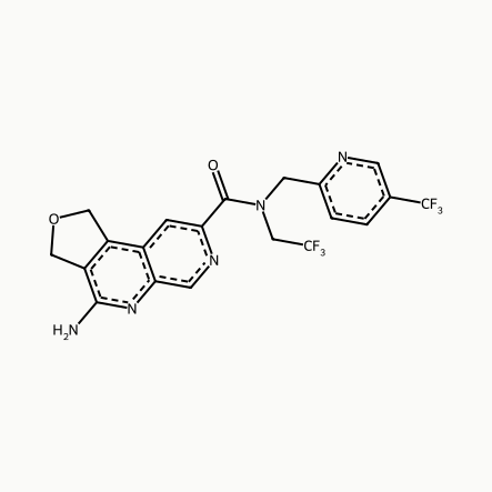 Nc1nc2cnc(C(=O)N(Cc3ccc(C(F)(F)F)cn3)CC(F)(F)F)cc2c2c1COC2